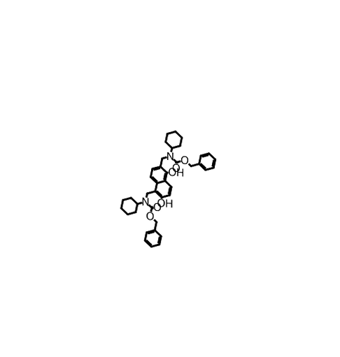 O=C(OCc1ccccc1)N(Cc1ccc2c(CN(C(=O)OCc3ccccc3)C3CCCCC3)c(O)ccc2c1O)C1CCCCC1